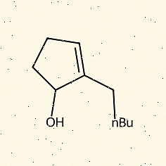 CCCCCC1=CCCC1O